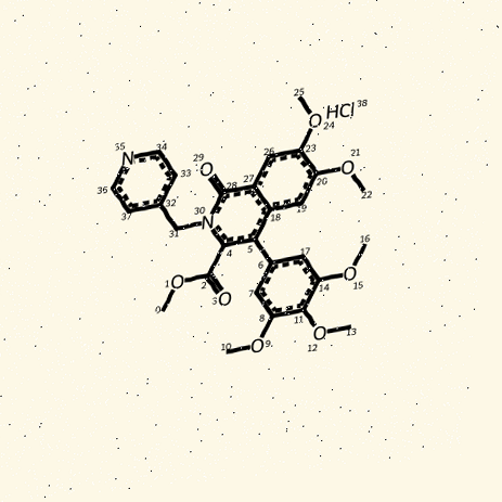 COC(=O)c1c(-c2cc(OC)c(OC)c(OC)c2)c2cc(OC)c(OC)cc2c(=O)n1Cc1ccncc1.Cl